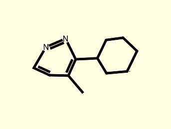 Cc1ccnnc1C1C[CH]CCC1